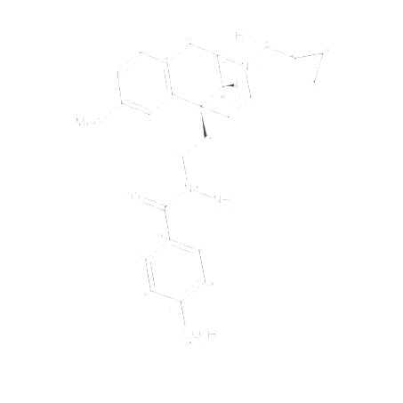 COc1ccc2c(c1)[C@@]1(CCN(N)C(=O)c3ccc(C(=O)O)cc3)CCN(CC3CC3)[C@H](C2)[C@@H]1C